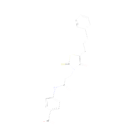 O=C(CCN1C(=O)/C(=C/C=C/c2ccccc2)SC1=S)Nc1ccc(C(=O)O)cc1